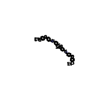 CCOc1ccc(Oc2ccc(/C=N/c3ccc([Se][Se]c4ccc(/N=C/c5ccc(Oc6ccc(OCC)cc6)cc5)cc4)cc3)cc2)cc1